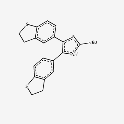 CC(C)(C)c1nc(-c2ccc3c(c2)CCS3)c(-c2ccc3c(c2)CCS3)[nH]1